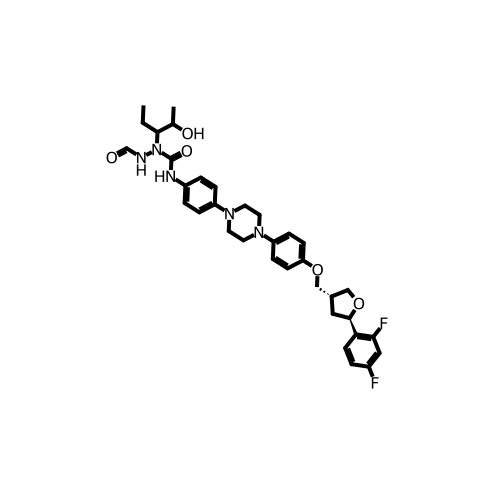 CCC(C(C)O)N(NC=O)C(=O)Nc1ccc(N2CCN(c3ccc(OC[C@@H]4CO[C@@H](c5ccc(F)cc5F)C4)cc3)CC2)cc1